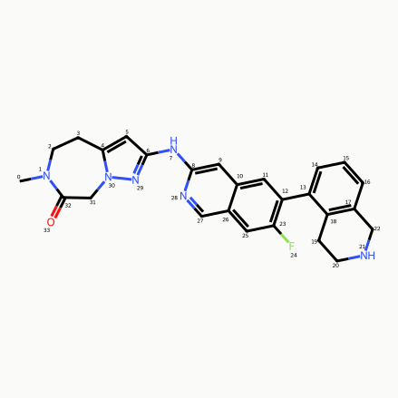 CN1CCc2cc(Nc3cc4cc(-c5cccc6c5CCNC6)c(F)cc4cn3)nn2CC1=O